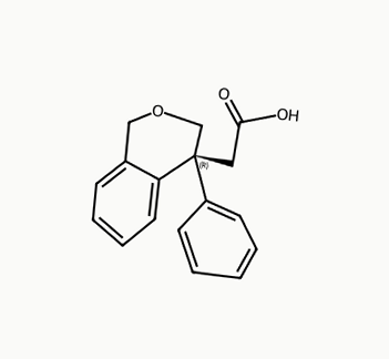 O=C(O)C[C@]1(c2ccccc2)COCc2ccccc21